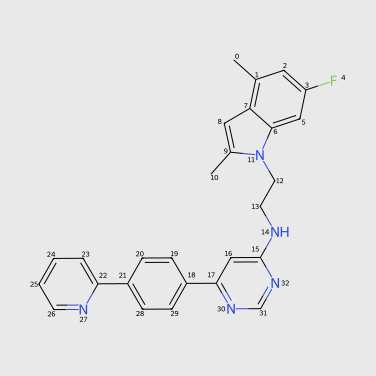 Cc1cc(F)cc2c1cc(C)n2CCNc1cc(-c2ccc(-c3ccccn3)cc2)ncn1